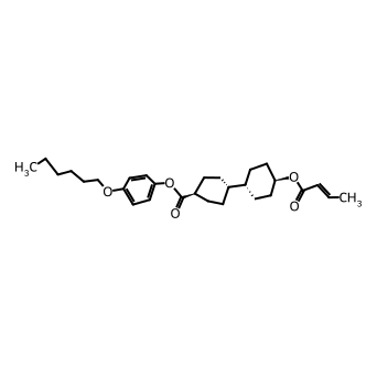 CC=CC(=O)O[C@H]1CC[C@H]([C@H]2CC[C@H](C(=O)Oc3ccc(OCCCCCC)cc3)CC2)CC1